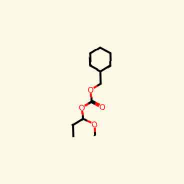 CCC(OC)OC(=O)OCC1CCCCC1